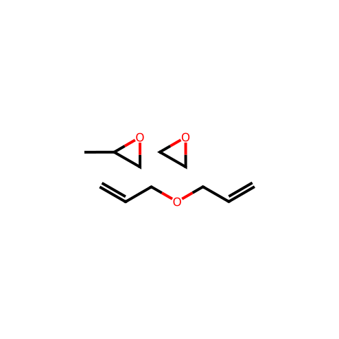 C1CO1.C=CCOCC=C.CC1CO1